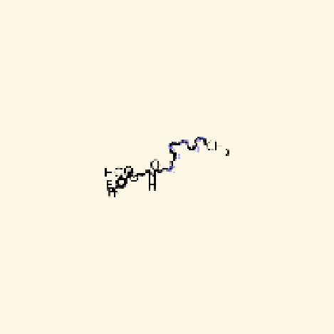 CC/C=C\C/C=C\C/C=C\C/C=C\C/C=C\C/C=C\CCC(=O)NCCCOC(=O)c1ccc(C(F)(F)F)cc1O